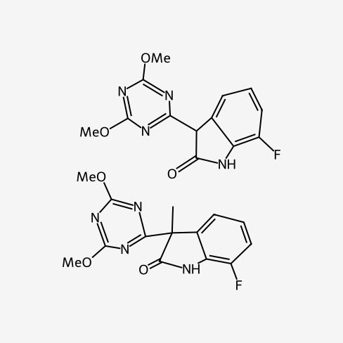 COc1nc(OC)nc(C2(C)C(=O)Nc3c(F)cccc32)n1.COc1nc(OC)nc(C2C(=O)Nc3c(F)cccc32)n1